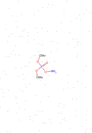 COOP(=O)(ON)OOC